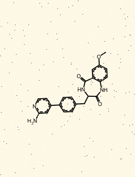 COc1ccc2c(c1)C(=O)NC(Cc1ccc(-c3ccnc(N)c3)cc1)C(=O)N2